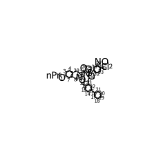 CCCOc1ccc2c(c1)CN(OCc1ccc(-c3ccccc3)cc1)[C@H](C(=O)NS(=O)(=O)c1ccc(Cl)c([N+](=O)[O-])c1)C2